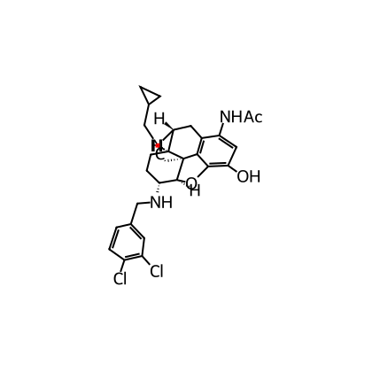 CC(=O)Nc1cc(O)c2c3c1C[C@@H]1[C@@H]4CC[C@@H](NCc5ccc(Cl)c(Cl)c5)[C@H](O2)[C@]34CCN1CC1CC1